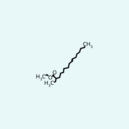 CCCCCCC=CCCCCCCC(CC)C(=O)OCC